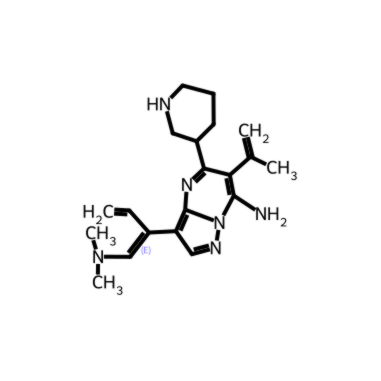 C=C/C(=C\N(C)C)c1cnn2c(N)c(C(=C)C)c(C3CCCNC3)nc12